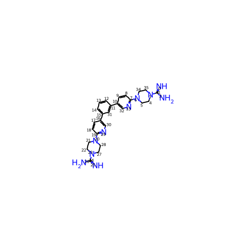 N=C(N)N1CCN(c2ccc(-c3cccc(-c4ccc(N5CCN(C(=N)N)CC5)nc4)c3)cn2)CC1